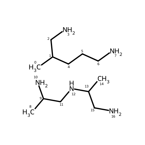 CC(CN)CCCN.CC(N)CNC(C)CN